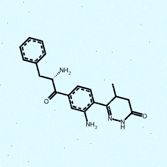 CC1CC(=O)NN=C1c1ccc(C(=O)[C@@H](N)Cc2ccccc2)cc1N